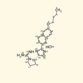 CCCCOc1ccc2cc(-c3noc([C@@H]4CCCN4C(=N)N)n3)ccc2c1.Cl